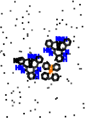 Cc1ccccc1[PH](c1ccccc1)(c1ccccc1)c1ccccc1.[Ni+2].c1ccc(-c2n[nH]cc2[BH-](c2c[nH]nc2-c2ccccc2)c2c[nH]nc2-c2ccccc2)cc1.c1ccc(-c2n[nH]cc2[BH-](c2c[nH]nc2-c2ccccc2)c2c[nH]nc2-c2ccccc2)cc1